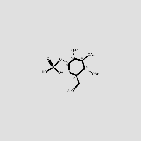 CC(=O)OC[C@H]1O[C@H](OP(=O)(O)O)[C@H](OC(C)=O)[C@@H](OC(C)=O)[C@@H]1OC(C)=O